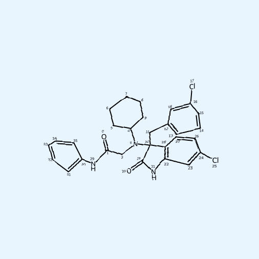 O=C(CN(C1CCCCC1)C1(Cc2cccc(Cl)c2)C(=O)Nc2cc(Cl)ccc21)Nc1ccccc1